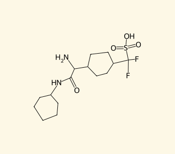 NC(C(=O)NC1CCCCC1)C1CCC(C(F)(F)S(=O)(=O)O)CC1